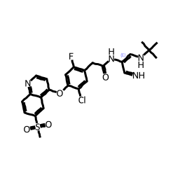 CC(C)(C)N/C=C(\C=N)NC(=O)Cc1cc(Cl)c(Oc2ccnc3ccc(S(C)(=O)=O)cc23)cc1F